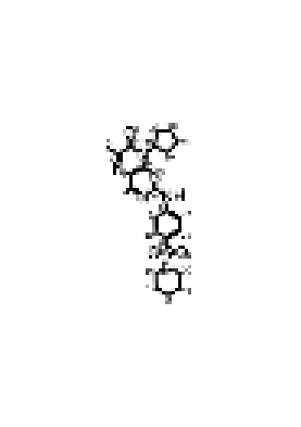 Cc1nc2cnc(Nc3ccc(S(=O)(=O)N4CCCCC4)cc3)nc2n(C2CCCC2)c1=O